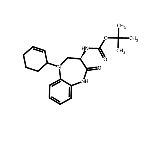 CC(C)(C)OC(=O)N[C@@H]1CN(C2C=CCCC2)c2ccccc2NC1=O